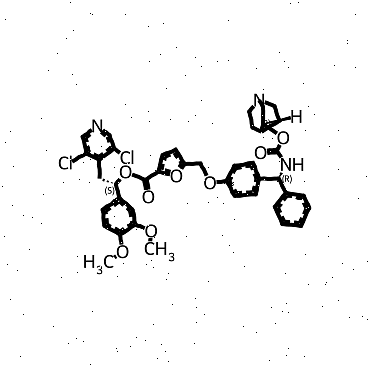 COc1ccc([C@H](Cc2c(Cl)cncc2Cl)OC(=O)c2ccc(COc3ccc([C@H](NC(=O)O[C@H]4CN5CCC4CC5)c4ccccc4)cc3)o2)cc1OC